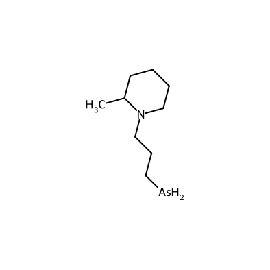 CC1CCCCN1CCC[AsH2]